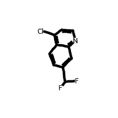 FC(F)c1ccc2c(Cl)ccnc2c1